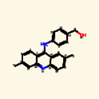 Cc1ccc2c(Nc3ccc(CO)cc3)c3cc(C)ccc3nc2c1